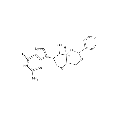 Nc1nc2c(ncn2C2COC3COC(c4ccccc4)O[C@@H]3C2O)c(=O)[nH]1